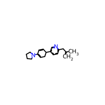 C=C(C)Cc1ccc(C2C=CC(N3CCCC3)=CC2)cn1